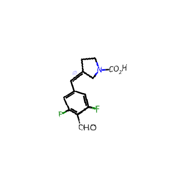 O=Cc1c(F)cc(/C=C2/CCN(C(=O)O)C2)cc1F